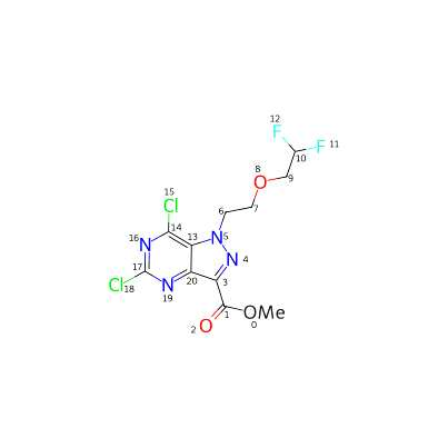 COC(=O)c1nn(CCOCC(F)F)c2c(Cl)nc(Cl)nc12